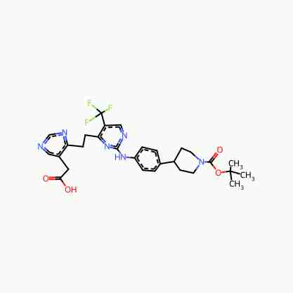 CC(C)(C)OC(=O)N1CCC(c2ccc(Nc3ncc(C(F)(F)F)c(CCc4ncncc4CC(=O)O)n3)cc2)CC1